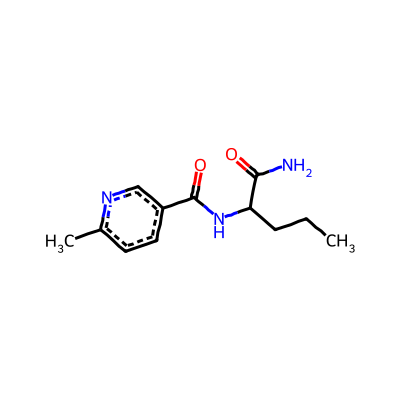 CCCC(NC(=O)c1ccc(C)nc1)C(N)=O